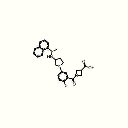 C[C@@H](NC1CCN(c2ccc(F)c(C(=O)N3CC(C(=O)O)C3)c2)C1)c1cccc2ccccc12